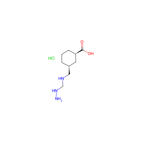 Cl.NNCNC[C@H]1CCC[C@@H](C(=O)O)C1